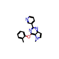 Cc1ccccc1Oc1nc(-c2cccnc2)nc2ccn(C)c12